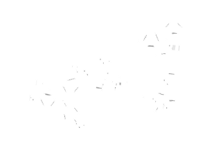 CN(C)c1ccc2c(-c3ccc(C(=O)NCCNC(=O)CCCCOc4ccc5c(c4)Oc4ccccc4C5NC(=O)CCC(=O)NCc4cn(C5CC(O)C(COP(=O)(O)OP(=O)(O)OP(=O)(O)O)O5)c(=O)[nH]c4=O)cc3C(=O)O)c3ccc(=[N+](C)C)cc-3oc2c1